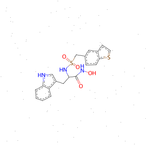 O=C(NO)C(Cc1c[nH]c2ccccc12)NS(=O)(=O)Cc1ccc2sccc2c1